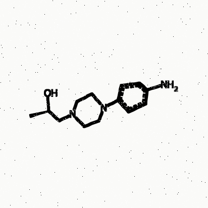 C[C@@H](O)CN1CCN(c2ccc(N)cc2)CC1